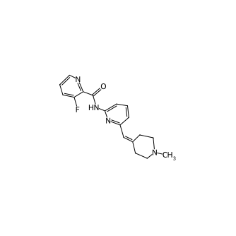 CN1CCC(=Cc2cccc(NC(=O)c3ncccc3F)n2)CC1